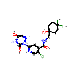 O=C(NCC1(O)CCC(F)(F)CC1)c1cc(-n2ncc(=O)[nH]c2=O)ncc1Cl